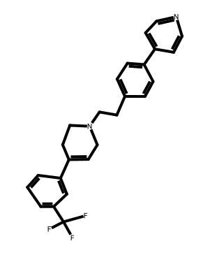 FC(F)(F)c1cccc(C2=CCN(CCc3ccc(-c4ccncc4)cc3)CC2)c1